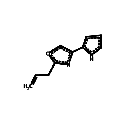 C=CCc1nc(-c2ccc[nH]2)co1